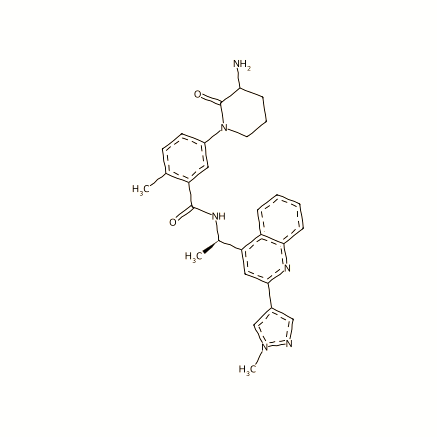 Cc1ccc(N2CCCC(N)C2=O)cc1C(=O)N[C@H](C)c1cc(-c2cnn(C)c2)nc2ccccc12